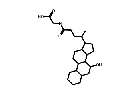 CC(CCC(=O)NCC(=O)O)C1CCC2C1CCC1C3CCCCC3CC(O)C12